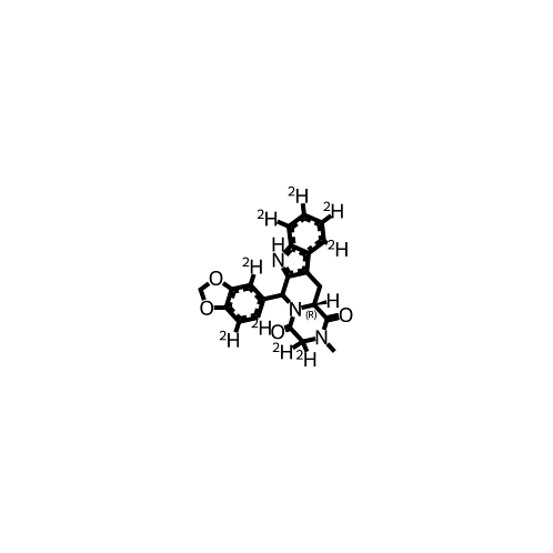 [2H]c1c([2H])c(C2c3[nH]c4c([2H])c([2H])c([2H])c([2H])c4c3C[C@@H]3C(=O)N(C)C([2H])([2H])C(=O)N23)c([2H])c2c1OCO2